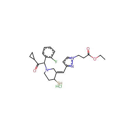 CCOC(=O)CCn1ccc(/C=C2\CN(C(C(=O)C3CC3)c3ccccc3F)CCC2S)n1.Cl